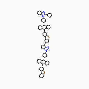 Cc1nc2c(-c3ccc4sc5cc(-c6c7ccccc7c(-c7ccc(-n8c(-c9ccccc9)nc9ccccc98)cc7)c7ccccc67)ccc5c4c3)cccc2n1-c1ccc(-c2c3ccccc3c(-c3ccc4c(c3)sc3ccccc34)c3ccccc23)cc1